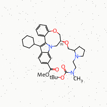 COC(=O)c1ccc2c(C3CCCCC3)c3n(c2c1)C[C@H](OCC1CCCN1CCN(C)C(=O)OC(C)(C)C)COc1ccccc1-3